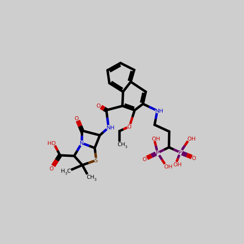 CCOc1c(NCCC(P(=O)(O)O)P(=O)(O)O)cc2ccccc2c1C(=O)NC1C(=O)N2C1SC(C)(C)C2C(=O)O